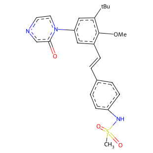 COc1c(/C=C/c2ccc(NS(C)(=O)=O)cc2)cc(-n2ccncc2=O)cc1C(C)(C)C